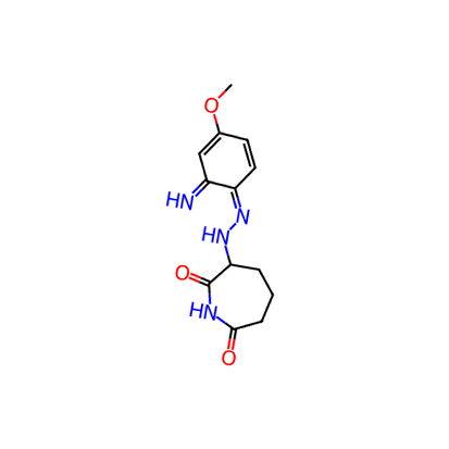 COC1=CC(=N)/C(=N\NC2CCCC(=O)NC2=O)C=C1